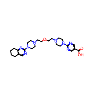 O=C(O)c1cnc(N2CCN(CCOCCN3CCN(c4ncc5c(n4)CCCC5)CC3)CC2)nc1